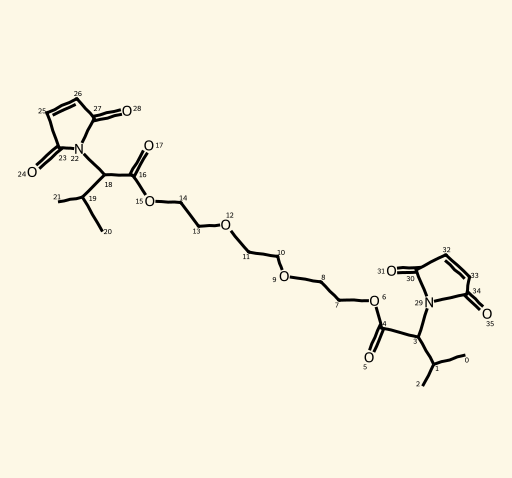 CC(C)C(C(=O)OCCOCCOCCOC(=O)C(C(C)C)N1C(=O)C=CC1=O)N1C(=O)C=CC1=O